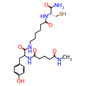 CNC(=O)CCCC(=O)NC(Cc1ccc(O)cc1)C(=O)NCCCCCC(=O)N[C@@H](CS)C(N)=O